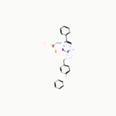 O=C(O)Cn1c(-c2ccccc2)cnc(NCc2ccc(Oc3ccccc3)cc2)c1=O